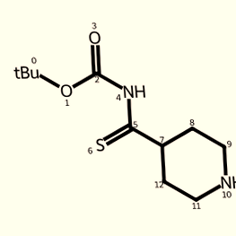 CC(C)(C)OC(=O)NC(=S)C1CCNCC1